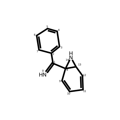 N=C(c1ccccc1)C12C=CC=CC1N2